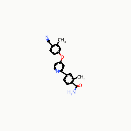 Cc1cc(Oc2ccnc(-c3ccc(C(N)=O)c(C)c3)c2)ccc1C#N